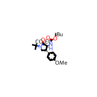 CCOC(=O)C(C)(C)N1C[C@@H](c2ccc(OC)cc2)[C@H](NC(=O)OC(C)(C)C)C1=O